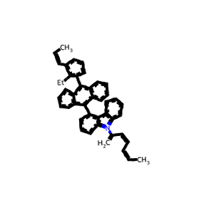 C=C(/C=C\C=C/C)n1c2ccccc2c2c(-c3c4ccccc4c(-c4cccc(/C=C\C)c4CC)c4ccccc34)cccc21